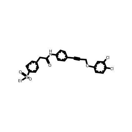 CCS(=O)(=O)c1ccc(CC(=O)Nc2ccc(C#CCOc3ccc(Cl)c(Cl)c3)cc2)cc1